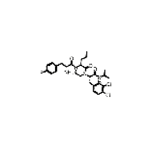 CCC[C@H]1C(=O)N([C@@H](Cc2ccc(Cl)c(Cl)c2)C(=O)NC(C)C)CCN1C(=O)[C@H](N)Cc1ccc(F)cc1